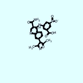 Cc1noc(C)c1-c1ccc2c(Nc3cc(C(=O)O)cc([N+](=O)[O-])c3)c(C(N)=O)cnc2c1